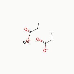 CCC(=O)[O-].CCC(=O)[O-].[Sr+2]